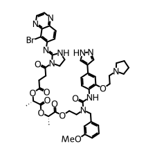 COc1cccc(CN(CCOC(=O)[C@H](C)OC(=O)[C@H](C)OC(=O)CCC(=O)N2CCN/C2=N\c2ccc3nccnc3c2Br)C(=O)Nc2ccc(-c3cn[nH]c3)cc2OCCN2CCCC2)c1